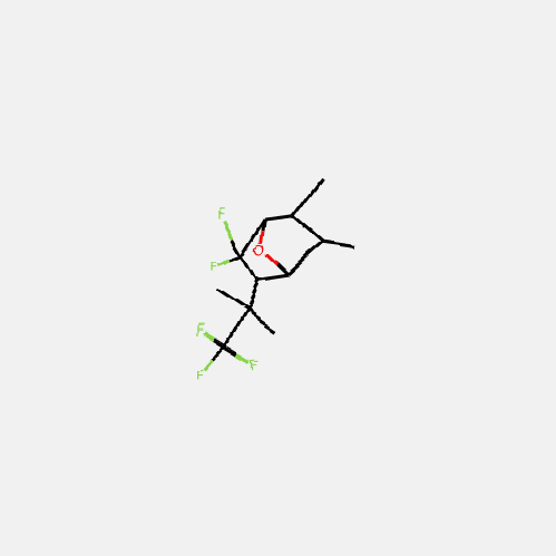 CC1C(C)C2OC1C(C(C)(C)C(F)(F)F)C2(F)F